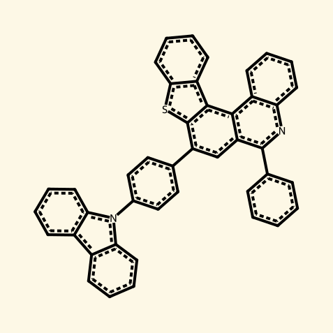 c1ccc(-c2nc3ccccc3c3c2cc(-c2ccc(-n4c5ccccc5c5ccccc54)cc2)c2sc4ccccc4c23)cc1